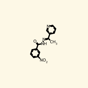 C/C(=N\NC(=O)c1cccc([N+](=O)[O-])c1)c1cccnc1